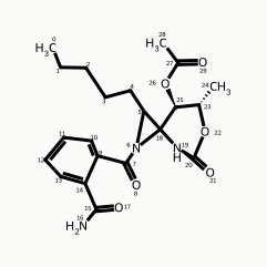 CCCCCC1N(C(=O)c2ccccc2C(N)=O)C12NC(=O)O[C@@H](C)[C@@H]2OC(C)=O